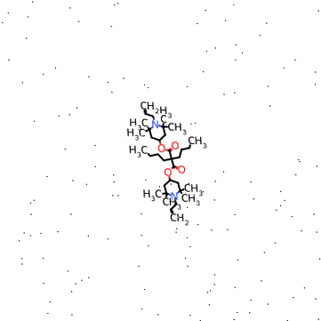 C=CCN1C(C)(C)CC(OC(=O)C(CCCC)(CCCC)C(=O)OC2CC(C)(C)N(CC=C)C(C)(C)C2)CC1(C)C